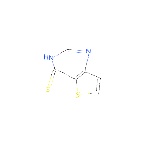 S=c1[nH]cnc2ccsc12